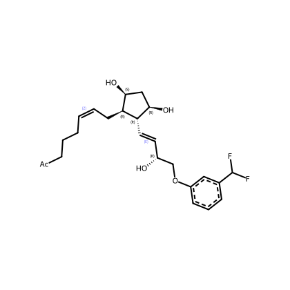 CC(=O)CCC/C=C\C[C@@H]1[C@@H](/C=C/[C@@H](O)COc2cccc(C(F)F)c2)[C@H](O)C[C@@H]1O